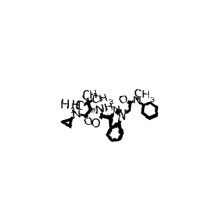 CN(C(=O)Cn1nc(C(=O)N[C@H](C(=O)NC2CC2)C(C)(C)C)c2ccccc21)C1CCCCC1